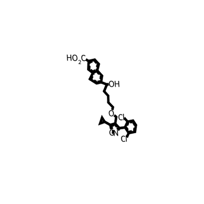 O=C(O)c1ccc2cc(C(O)CCCCOCc3c(-c4c(Cl)cccc4Cl)noc3C3CC3)ccc2c1